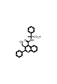 C[C@](NC(=O)c1c(CC#N)c(-c2ccccc2)nc2ccccc12)(C(=O)O)c1ccccc1